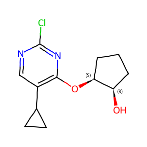 O[C@@H]1CCC[C@@H]1Oc1nc(Cl)ncc1C1CC1